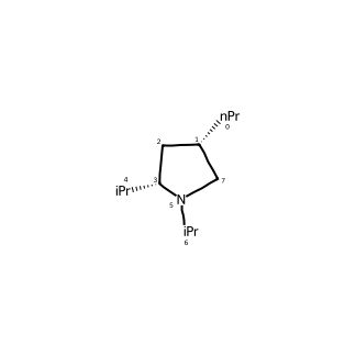 CCC[C@H]1C[C@@H](C(C)C)N(C(C)C)C1